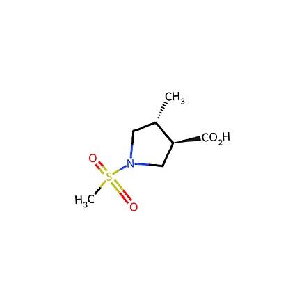 C[C@H]1CN(S(C)(=O)=O)C[C@@H]1C(=O)O